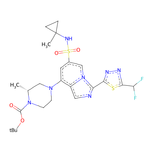 C[C@@H]1CN(c2cc(S(=O)(=O)NC3(C)CC3)cn3c(-c4nnc(C(F)F)s4)ncc23)CCN1C(=O)OC(C)(C)C